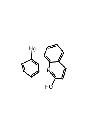 Oc1ccc2ccccc2n1.[Hg][c]1ccccc1